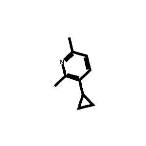 [CH2]c1nc(C)ccc1C1CC1